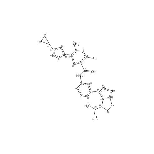 Cc1cc(F)c(C(=O)Nc2cccc(-c3nnc4n3C(C(C)C)CC4)n2)cc1-n1cnc(C2CC2)c1